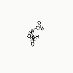 CN(CCC1CCC(Cc2ccccc2)(N2CCCC2)CC1)C(=O)CC(NS(=O)(=O)c1ccc2ccccc2c1)c1ccccc1